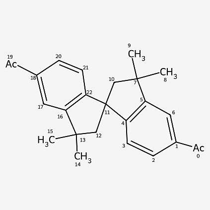 CC(=O)c1ccc2c(c1)C(C)(C)CC21CC(C)(C)c2cc(C(C)=O)ccc21